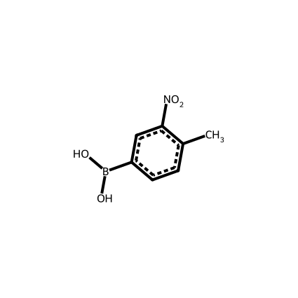 Cc1ccc(B(O)O)cc1[N+](=O)[O-]